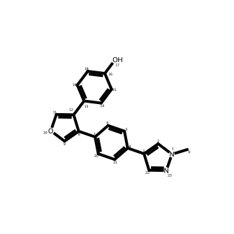 Cn1cc(-c2ccc(-c3cocc3-c3ccc(O)cc3)cc2)cn1